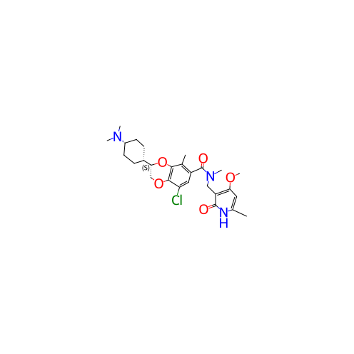 COc1cc(C)[nH]c(=O)c1CN(C)C(=O)c1cc(Cl)c2c(c1C)O[C@@H]([C@H]1CC[C@@H](N(C)C)CC1)CO2